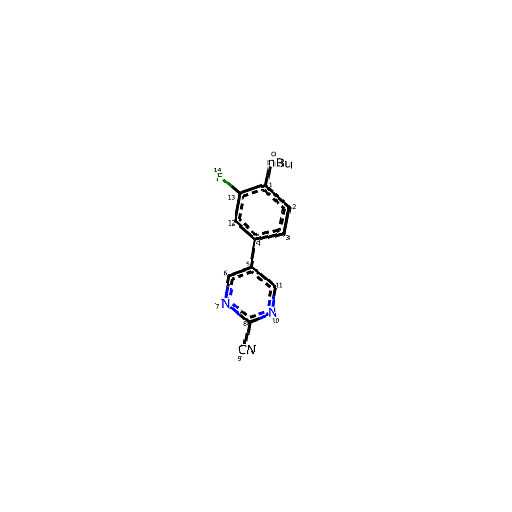 CCCCc1ccc(-c2cnc(C#N)nc2)cc1F